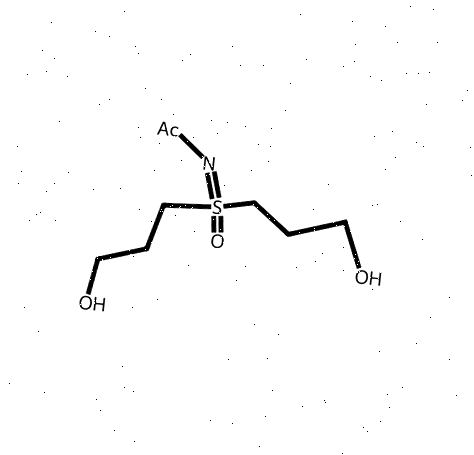 CC(=O)N=S(=O)(CCCO)CCCO